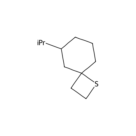 CC(C)C1CCCC2(CCS2)C1